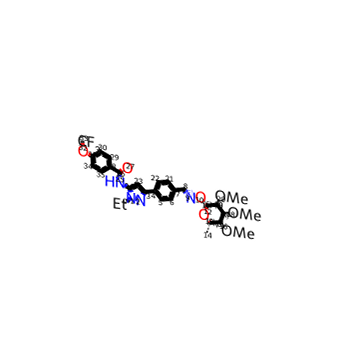 CCn1nc(-c2ccc(/C=N/O[C@@H]3O[C@@H](C)[C@H](OC)[C@@H](OC)[C@H]3OC)cc2)cc1NC(=O)c1ccc(OC(F)(F)F)cc1